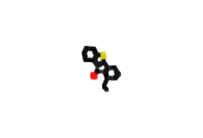 CCc1cccc2c1C(=O)c1c-2sc2ccccc12